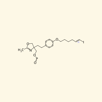 CC1=NC(CCc2ccc(OCCCC/C=C/I)cc2)(COP=O)CO1